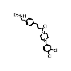 CCNCc1ccc(/C=C/C(=O)N2CCN(c3ccc(Cl)c(Cl)c3)CC2)cc1